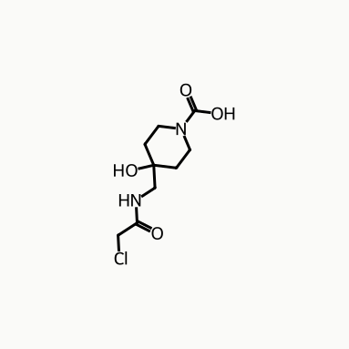 O=C(CCl)NCC1(O)CCN(C(=O)O)CC1